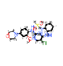 COc1cc(N2CCOCC2)ccc1Nc1ncc(Cl)c(Nc2ccccc2NS(C)(=O)=O)n1